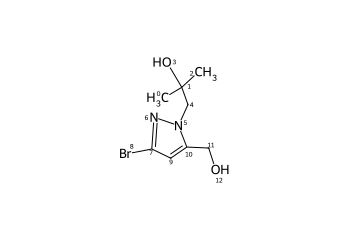 CC(C)(O)Cn1nc(Br)cc1CO